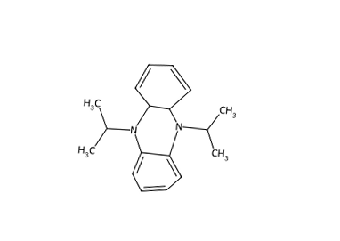 CC(C)N1c2ccccc2N(C(C)C)C2C=CC=CC21